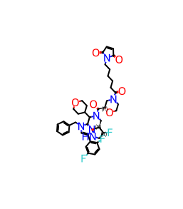 O=C(CCCCCN1C(=O)C=CC1=O)N1CCO[C@@H](C(=O)N(C[C@@H]2CNC[C@@H]2F)C(c2nc(-c3cc(F)ccc3F)cn2Cc2ccccc2)C2CCOCC2)C1